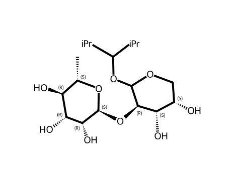 CC(C)C(OC1OC[C@H](O)[C@H](O)[C@H]1O[C@@H]1O[C@@H](C)[C@H](O)[C@@H](O)[C@H]1O)C(C)C